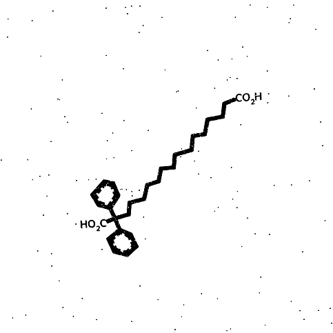 O=C(O)CCCCCCCCCCCCCCC(C(=O)O)(c1ccccc1)c1ccccc1